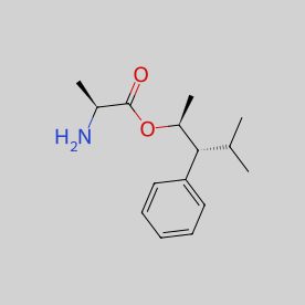 CC(C)[C@H](c1ccccc1)[C@H](C)OC(=O)[C@H](C)N